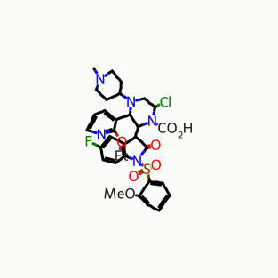 CCOc1ncccc1C1C(C2C(=O)N(S(=O)(=O)c3ccccc3OC)c3ccc(F)cc32)N(C(=O)O)C(Cl)CN1C1CCN(C)CC1